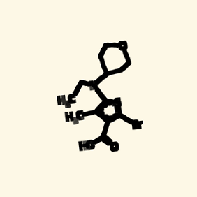 CCN(c1sc(Br)c(C(=O)O)c1C)C1CCOCC1